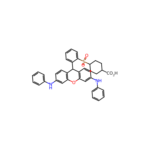 O=C(O)C1CCC(S(=O)(=O)c2ccccc2C2c3ccc(Nc4ccccc4)cc3Oc3cc(Nc4ccccc4)ccc32)CC1